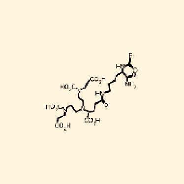 CCC(=O)NC(CCCCNC(=O)CCC(C(=O)O)N(CCN(CCC(=O)O)C(=O)O)CCN(CCC(=O)O)C(=O)O)C(N)=O